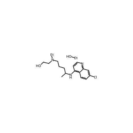 CCN(CCO)CCCC(C)Nc1ccnc2cc(Cl)ccc12.CCO